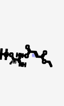 CCOC(=O)/C=C/C(=O)ONC(=N)[C@H](C)O[Si](C)(C)C(C)(C)C